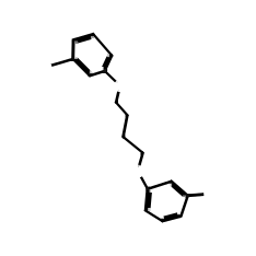 Cc1cccc(SCCCCSc2cccc(C)c2)c1